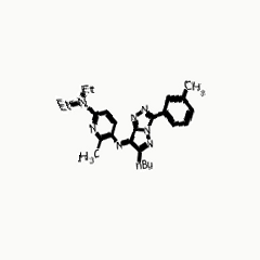 CCCCC1=Nn2c(nnc2-c2cccc(C)c2)C1=Nc1ccc(N(CC)CC)nc1C